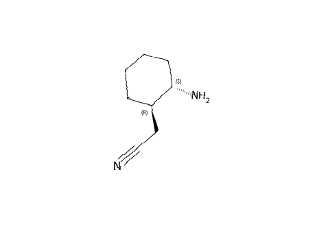 N#CC[C@H]1CCCC[C@@H]1N